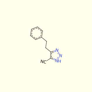 N#Cc1[nH]nnc1CCc1ccccc1